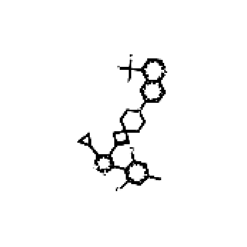 Fc1cc(Cl)c(-c2noc(C3CC3)c2C2=CC3(CCN(c4ccc5nccc(C(F)(F)F)c5c4)CC3)C2)c(Cl)c1